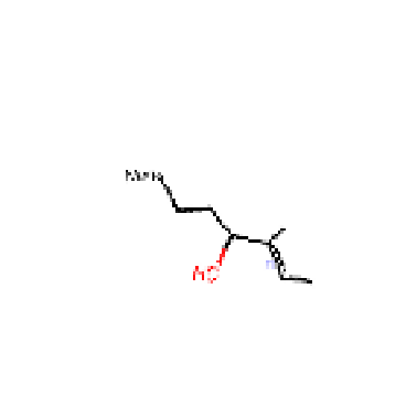 C/C=C(\C)C(O)CCNC